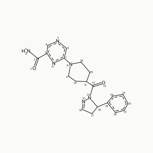 NC(=O)c1cncc(N2CCC(C(=O)N3N=CCC3c3ccccc3)CC2)n1